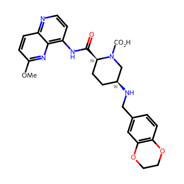 COc1ccc2nccc(NC(=O)[C@@H]3CC[C@H](NCc4ccc5c(c4)OCCO5)CN3C(=O)O)c2n1